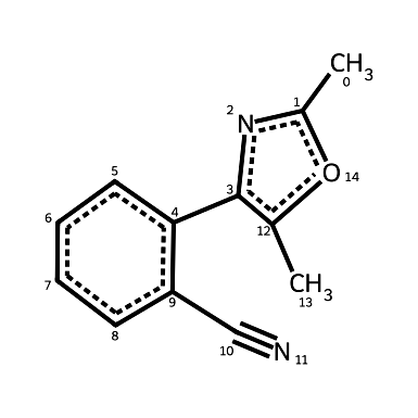 Cc1nc(-c2ccccc2C#N)c(C)o1